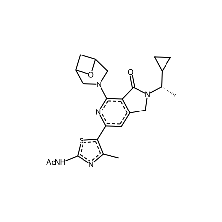 CC(=O)Nc1nc(C)c(-c2cc3c(c(N4CC5CC(C4)O5)n2)C(=O)N([C@@H](C)C2CC2)C3)s1